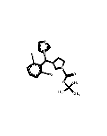 CC(C)(C)OC(=O)N1CCC(C(c2c(F)cccc2Br)n2ccnc2)C1